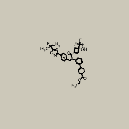 CCOC(=O)C1CC=C(c2cccc(N(CC34CCC(c5noc(C(C)(C)F)n5)(CC3)CC4)C(=O)[C@H]3C[C@](O)(C(F)(F)F)C3)c2)CC1